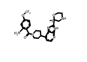 C[C@]1(c2nc3c(C4CCN(C(=O)c5ccc(OC(F)(F)F)cc5N)CC4)ccnc3[nH]2)CNCCO1